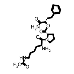 NC(=O)[C@H](CCc1ccccc1)OC(=O)[C@@H]1CCCN1C(=O)[C@@H](N)CCCCNC(=O)C(F)(F)F